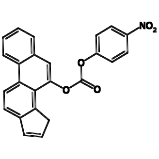 O=C(Oc1ccc([N+](=O)[O-])cc1)Oc1cc2ccccc2c2ccc3c(c12)CC=C3